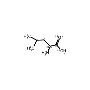 CC(C)C[C@H](N)C(=[18O])[18OH]